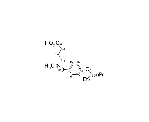 CCCC(CC)Oc1ccc(OC(C)CCCC(=O)O)cc1